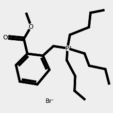 CCCC[P+](CCCC)(CCCC)Cc1ccccc1C(=O)OC.[Br-]